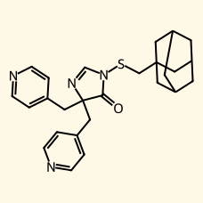 O=C1N(SCC23CC4CC(CC(C4)C2)C3)C=NC1(Cc1ccncc1)Cc1ccncc1